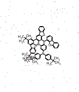 CC(C)(C)c1ccc(N(c2ccc(C(C)(C)C)cc2)c2ccc3c(c2)B2c4c(cc5c(sc6ccccc65)c4N3c3cccc4c3oc3ccccc34)-c3cc(C(C)(C)C)cc4c5cc(C(C)(C)C)ccc5n2c34)cc1